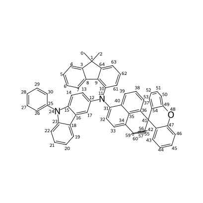 CC1(C)c2ccccc2-c2c(N(c3ccc4c(c3)c3ccccc3n4-c3ccccc3)c3ccc4c5c(cccc35)C3(c5ccccc5Oc5ccccc53)c3ccccc3-4)cccc21